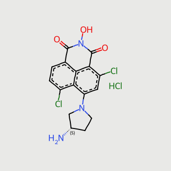 Cl.N[C@H]1CCN(c2cc(Cl)c3c4c(ccc(Cl)c24)C(=O)N(O)C3=O)C1